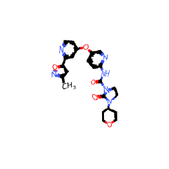 Cc1cc(-c2cc(Oc3ccc(NC(=O)N4CCN(C5CCOCC5)C4=O)nc3)ccn2)on1